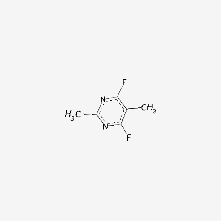 Cc1nc(F)c(C)c(F)n1